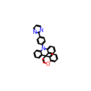 c1cnc(-c2ccc(N3c4ccccc4C4(c5ccccc5Oc5ccccc54)c4ccccc43)cc2)nc1